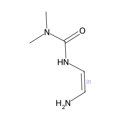 CN(C)C(=O)N/C=C\N